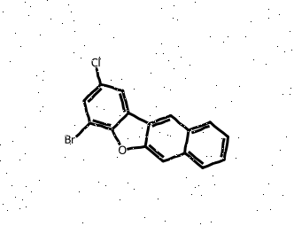 Clc1cc(Br)c2oc3cc4ccccc4cc3c2c1